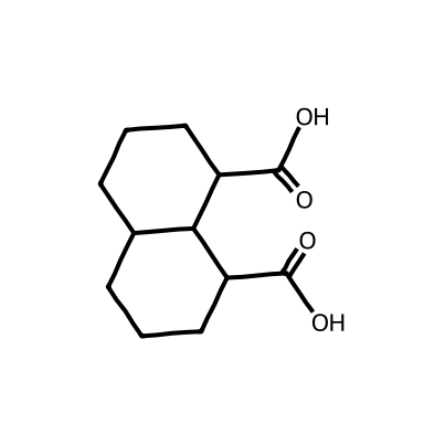 O=C(O)C1CCCC2CCCC(C(=O)O)C21